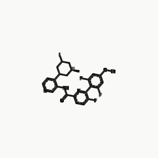 CCOc1cc(F)c(-c2nc(C(=O)Nc3cnccc3C3CC(I)C[C@@H](C)C3)ccc2F)c(F)c1